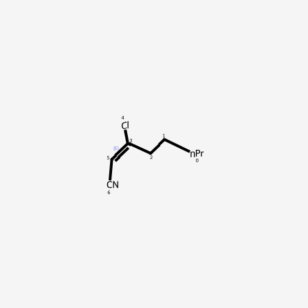 CCCCC/C(Cl)=C\C#N